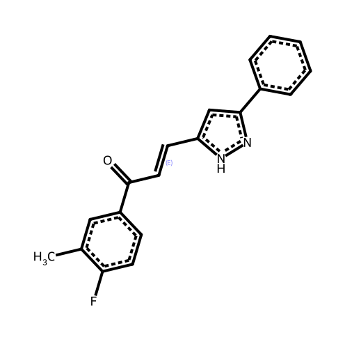 Cc1cc(C(=O)/C=C/c2cc(-c3ccccc3)n[nH]2)ccc1F